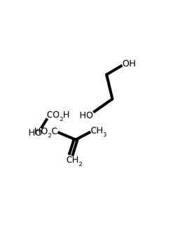 C=C(C)C(=O)O.O=C(O)O.OCCO